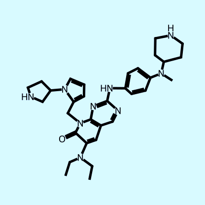 CCN(CC)c1cc2cnc(Nc3ccc(N(C)C4CCNCC4)cc3)nc2n(Cc2cccn2C2CCNC2)c1=O